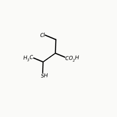 CC(S)C(CCl)C(=O)O